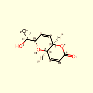 C[C@@H](O)[C@@H]1C=C[C@H]2OC(=O)C=C[C@H]2O1